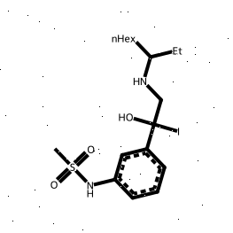 CCCCCCC(CC)NCC(O)(I)c1cccc(NS(C)(=O)=O)c1